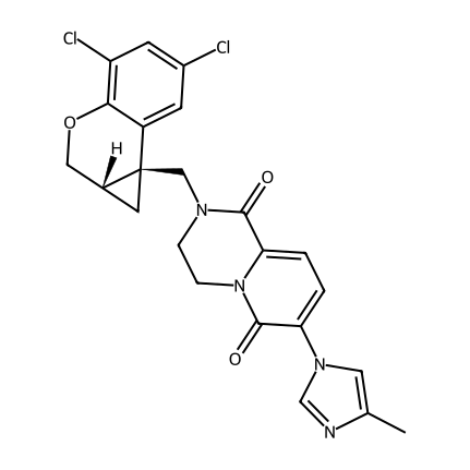 Cc1cn(-c2ccc3n(c2=O)CCN(C[C@@]24C[C@@H]2COc2c(Cl)cc(Cl)cc24)C3=O)cn1